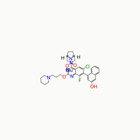 CC(C)(C)OC(=O)N1[C@@H]2CC[C@H]1CN(c1nc(OCCCN3CCCCC3)nc3c(F)c(-c4cc(O)cc5ccccc45)c(Cl)cc13)C2